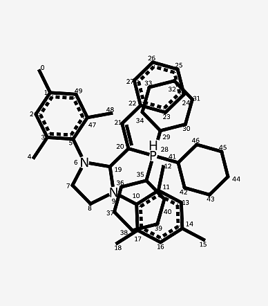 Cc1cc(C)c(N2CCN(c3c(C)cc(C)cc3C)C2/C(=C/c2ccccc2)[PH](C2CCCCC2)(C2CCCCC2)C2CCCCC2)c(C)c1